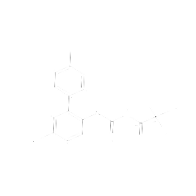 Cc1ccc(-c2cc(F)ccc2NC(=O)OC(=O)C(F)(F)F)cc1